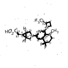 C[C@H]1CCN1c1nc(N2C[C@@H]3[C@@H](CC(=O)O)[C@@H]3C2)cc2c1N(C)CCC2(F)F